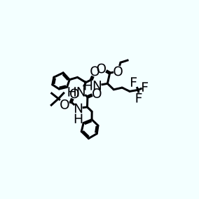 CCOC(=O)C(CCCC(F)(F)F)NC(=O)C(Cc1ccccc1)NC(=O)C(Cc1ccccc1)NC(=O)OC(C)(C)C